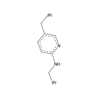 CC(C)CNc1ccc(CC(C)C)cn1